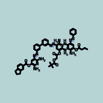 CCCC(=O)Oc1cc(/N=N/c2ccccc2)c(N[n+]2c(N)c(/N=N/c3cccc(-c4cccc(/N=N/c5cc(OC(=O)c6ccc7c(c6)CCC7)c(N)nc5N)c4)c3)cc(OC(=O)COC(=O)C(C)(C)C)c2N)nc1N